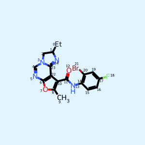 CCC1CN2C=Nc3oc(C)c(C(=O)Nc4ccc(F)cc4Br)c3C2=N1